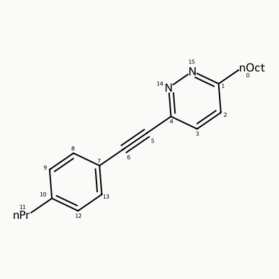 CCCCCCCCc1ccc(C#Cc2ccc(CCC)cc2)nn1